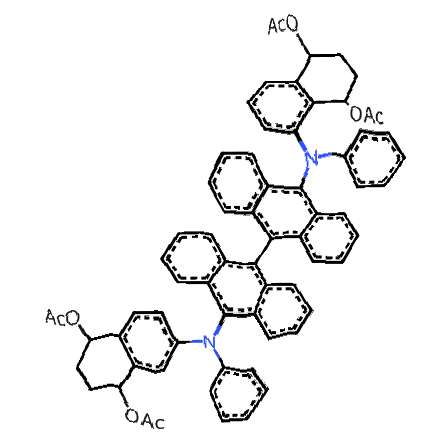 CC(=O)OC1CCC(OC(C)=O)c2cc(N(c3ccccc3)c3c4ccccc4c(-c4c5ccccc5c(N(c5ccccc5)c5cccc6c5C(OC(C)=O)CCC6OC(C)=O)c5ccccc45)c4ccccc34)ccc21